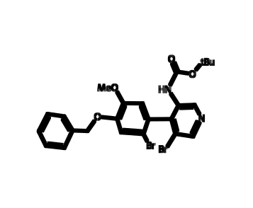 COc1cc(-c2c(Br)cncc2NC(=O)OC(C)(C)C)c(Br)cc1OCc1ccccc1